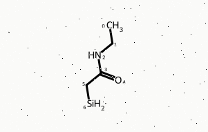 CCNC(=O)C[SiH2]